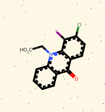 O=C(O)Cn1c2ccccc2c(=O)c2ccc(Cl)c(I)c21